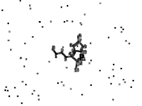 CCCCC1=C2C=C(C)C=C2P=C1C